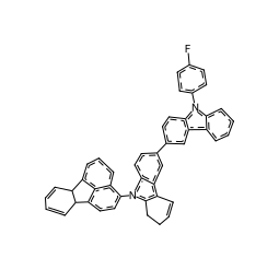 Fc1ccc(-n2c3ccccc3c3cc(-c4ccc5c(c4)c4c(n5-c5ccc6c7c(cccc57)C5C=CC=CC65)CCC=C4)ccc32)cc1